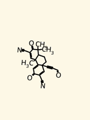 CC1(C)C(=O)C(C#N)=CC2(C)C3=CC(=O)C(C#N)=CC3(C#CC=O)CCC12